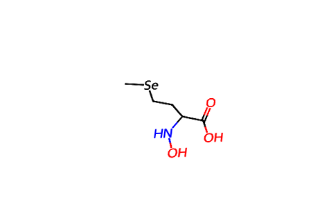 C[Se]CCC(NO)C(=O)O